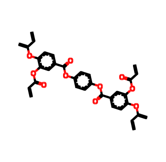 C=CC(=C)Oc1ccc(C(=O)Oc2ccc(OC(=O)c3ccc(OC(=C)C=C)c(OC(=O)C=C)c3)cc2)cc1OC(=O)C=C